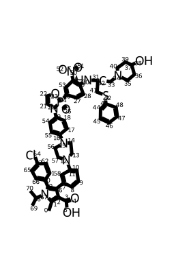 Cc1c(C(=O)O)c(-c2cccc(N3CCN(c4ccc(N5C=COP5(=O)c5ccc(NC(CCN6CCC(O)CC6)CSc6ccccc6)c([N+](=O)[O-])c5)cc4)CC3)c2)c(-c2ccc(Cl)cc2)n1C(C)C